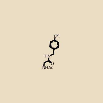 CCCc1ccc(CNC(=O)CNC(C)=O)cc1